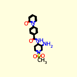 CS(=O)(=O)N1CCC(NC(=O)c2ccc(-n3ccccc3=O)cc2)C(N)C1